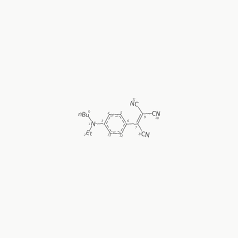 CCCCN(CC)c1ccc(C(C#N)=C(C#N)C#N)cc1